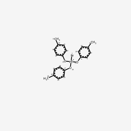 Cc1ccc([O][Hf]([Br])([O]c2ccc(C)cc2)[O]c2ccc(C)cc2)cc1